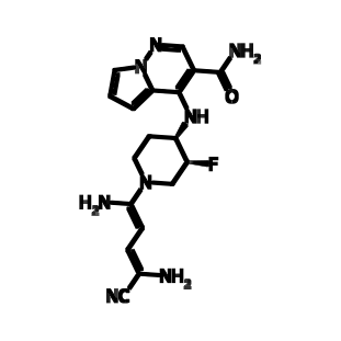 N#C/C(N)=C/C=C(\N)N1CC[C@@H](Nc2c(C(N)=O)cnn3cccc23)[C@@H](F)C1